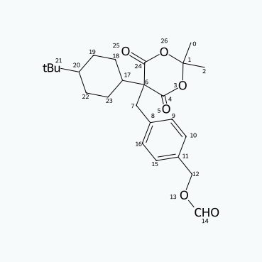 CC1(C)OC(=O)C(Cc2ccc(COC=O)cc2)(C2CCC(C(C)(C)C)CC2)C(=O)O1